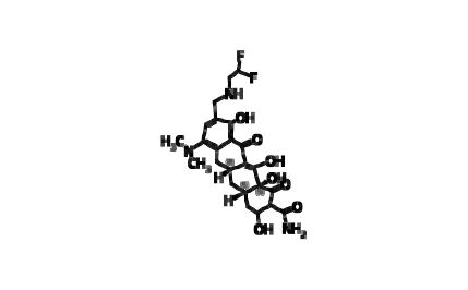 CN(C)c1cc(CNCC(F)F)c(O)c2c1C[C@H]1C[C@H]3CC(O)C(C(N)=O)C(=O)[C@@]3(O)C(O)=C1C2=O